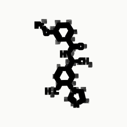 Cc1ccc([C@H](C)NC(=O)c2cccc(OC(C)C)c2)cc1-n1ccnc1